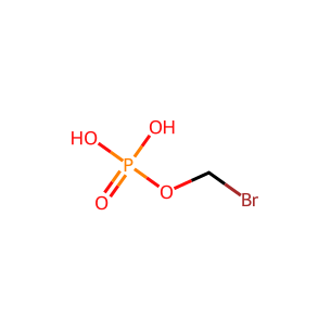 O=P(O)(O)OCBr